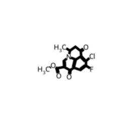 COC(=O)c1cn2c3c(c(Cl)c(F)cc3c1=O)C(=O)CC2C